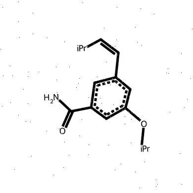 CC(C)/C=C\c1cc(OC(C)C)cc(C(N)=O)c1